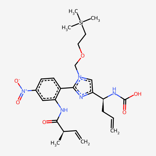 C=CC[C@H](NC(=O)O)c1cn(COCC[Si](C)(C)C)c(-c2ccc([N+](=O)[O-])cc2NC(=O)[C@H](C)C=C)n1